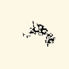 Cc1nc(C(O)N2CCCC23CCN(C(=O)OC(C(F)(F)F)C(F)(F)F)CC3)c(C)o1